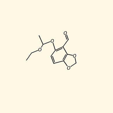 CCOC(C)Oc1ccc2c(c1C=O)OCO2